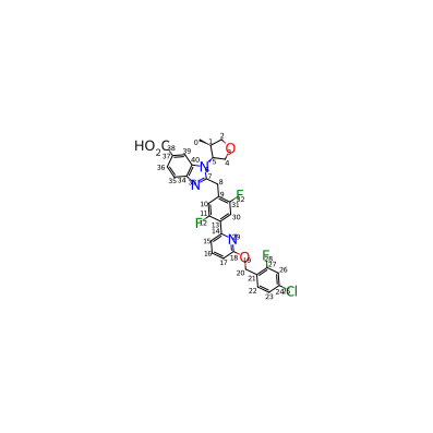 C[C@H]1COC[C@H]1n1c(Cc2cc(F)c(-c3cccc(OCc4ccc(Cl)cc4F)n3)cc2F)nc2ccc(C(=O)O)cc21